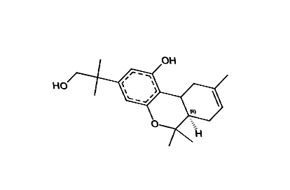 CC1=CC[C@@H]2C(C1)c1c(O)cc(C(C)(C)CO)cc1OC2(C)C